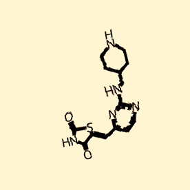 O=C1NC(=O)C(=Cc2ccnc(NCC3CCNCC3)n2)S1